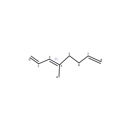 C=C/C=C(\C)CCC=C